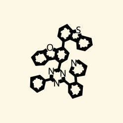 c1ccc(-c2nc(-c3ccccc3-c3cccnc3)nc(-c3ccc(-c4cccc5sc6ccccc6c45)c4oc5ccccc5c34)n2)cc1